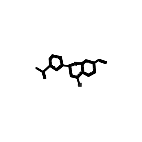 C=Cc1ccc2c(Cl)cc(-c3cccc(C(=C)C)c3)nc2c1